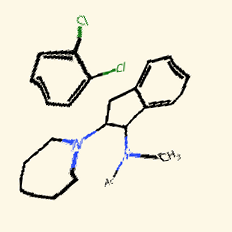 CC(=O)N(C)C1c2ccccc2CC1N1CCCCC1.Clc1ccccc1Cl